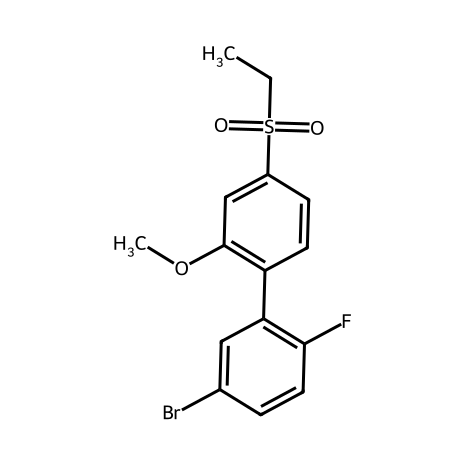 CCS(=O)(=O)c1ccc(-c2cc(Br)ccc2F)c(OC)c1